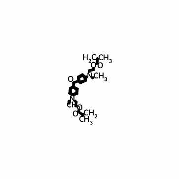 C=C(C)C(=O)OCCN(CC)c1ccc(C(=O)c2ccc(N(CC)CCOC(=O)C(=C)C)cc2)cc1